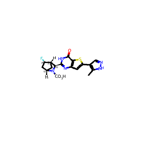 Cc1[nH]ncc1-c1cc2nc([C@@H]3[C@@H]4C[C@@H](C[C@H]4F)N3C(=O)O)[nH]c(=O)c2s1